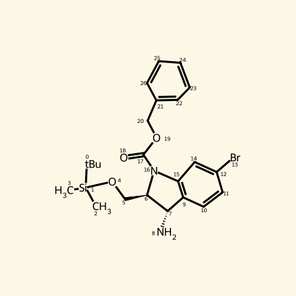 CC(C)(C)[Si](C)(C)OC[C@@H]1[C@@H](N)c2ccc(Br)cc2N1C(=O)OCc1ccccc1